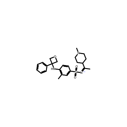 C/C(=N/S(=O)(=O)c1ccc(NC2(c3ccccc3)COC2)c(C)c1)C1CCN(C)CC1